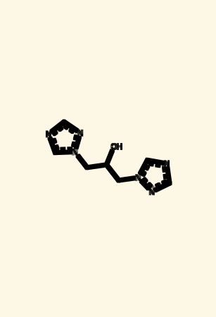 OC(Cn1cncn1)Cn1cncn1